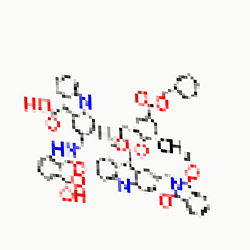 Cc1cc(C(=O)OCc2ccccc2)cc(C)c1OC(=O)c1c2ccccc2nc2ccc(CN3C(=O)c4ccccc4C3=O)cc12.O=C(O)c1ccccc1C(=O)NCc1ccc2nc3ccccc3c(C(=O)O)c2c1